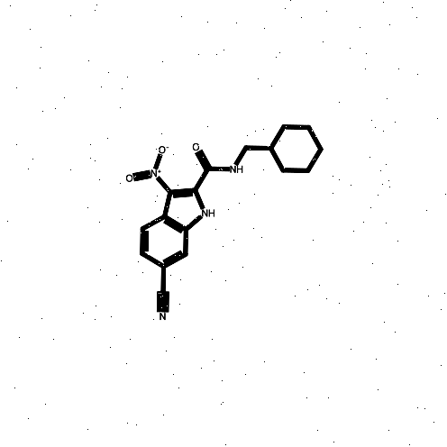 N#Cc1ccc2c([N+](=O)[O-])c(C(=O)NCC3CCCCC3)[nH]c2c1